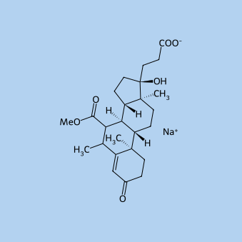 COC(=O)C1C(C)C2=CC(=O)CC[C@]2(C)[C@H]2CC[C@@]3(C)[C@@H](CC[C@]3(O)CCC(=O)[O-])[C@H]12.[Na+]